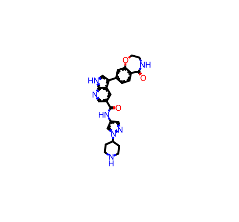 O=C(Nc1cnn(C2CCNCC2)c1)c1cnc2[nH]cc(-c3ccc4c(c3)OCCNC4=O)c2c1